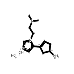 CN(C)CCn1cncc1C1=CCC(N)C1.Cl.Cl